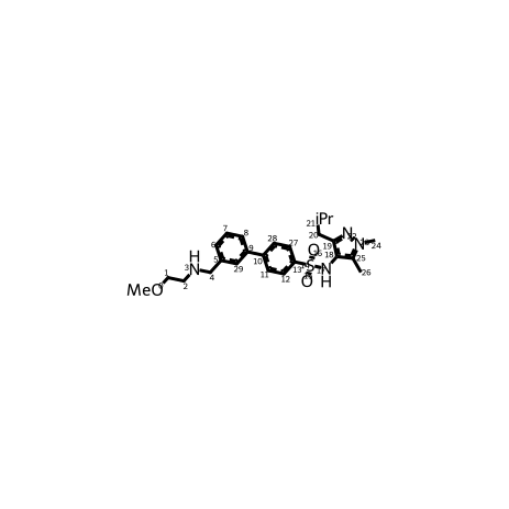 COCCNCc1cccc(-c2ccc(S(=O)(=O)Nc3c(CC(C)C)nn(C)c3C)cc2)c1